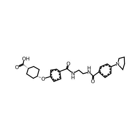 O=C(NCCNC(=O)c1ccc(N2CCCC2)cc1)c1ccc(O[C@H]2CC[C@@H](C(=O)O)CC2)cc1